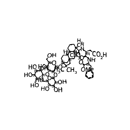 COC(=O)[C@H](Cc1ccccc1)NC(=O)[C@H](CC(=O)O)NC(=O)[C@]1(C)CCC[C@@]2(C)[C@@H]3CC[C@]4(O[C@@H]5O[C@H](CO)[C@@H](O)[C@H](O[C@@H]6O[C@H](CO)[C@@H](O)[C@H](O)[C@H]6O)[C@H]5O[C@@H]5O[C@H](CO)[C@@H](O)[C@H](O)[C@H]5O)C[C@@]3(CC[C@@H]21)CC4(C)C